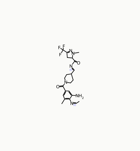 C/C=N\c1c(C)cc(C(=O)N2CCC(/C=N/C(=O)C3CC(C(F)(F)F)=NN3C)CC2)cc1N